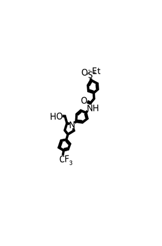 CC[S+]([O-])c1ccc(CC(=O)Nc2ccc(N3CC(c4ccc(C(F)(F)F)cc4)CC3CO)cc2)cc1